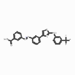 O=C(O)c1cccc(/N=N/c2cccc(-c3csc(Nc4cccc(C(F)(F)F)c4)n3)c2)c1